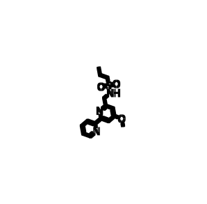 CCCS(=O)(=O)NCc1cc(OC)cc(-c2ccccn2)n1